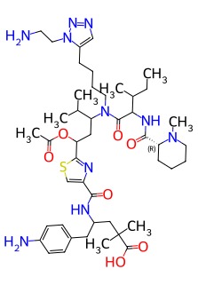 CCC(C)C(NC(=O)[C@H]1CCCCN1C)C(=O)N(CCCCc1cnnn1CCN)C(CC(OC(C)=O)c1nc(C(=O)NC(Cc2ccc(N)cc2)CC(C)(C)C(=O)O)cs1)C(C)C